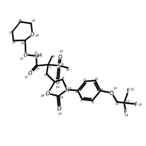 CC(CC1CN(c2ccc(OCC(F)(F)F)cc2)C(=O)O1)(C(=O)NOC1CCCCO1)S(C)(=O)=O